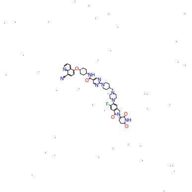 N#Cc1ccc(OC2CCC(NC(=O)c3cnc(N4CCC(CN5CCN(c6cc7c(cc6F)C(=O)N([C@H]6CCC(=O)NC6=O)C7)CC5)CC4)nc3)CC2)c2cccnc12